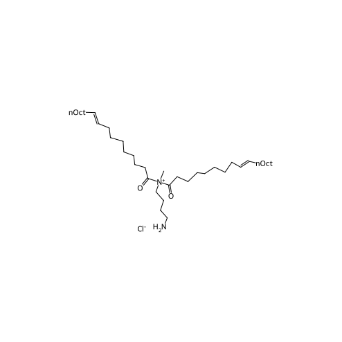 CCCCCCCCC=CCCCCCCCC(=O)[N+](C)(CCCCN)C(=O)CCCCCCCC=CCCCCCCCC.[Cl-]